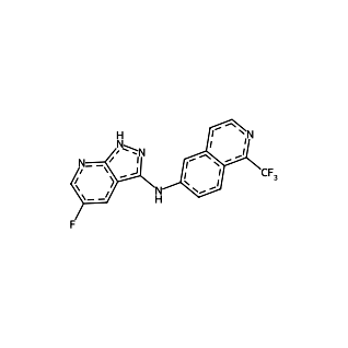 Fc1cnc2[nH]nc(Nc3ccc4c(C(F)(F)F)nccc4c3)c2c1